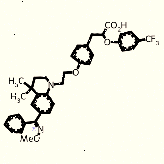 CO/N=C(\c1ccccc1)c1ccc2c(c1)C(C)(C)CCN2CCOc1ccc(CC(Oc2ccc(C(F)(F)F)cc2)C(=O)O)cc1